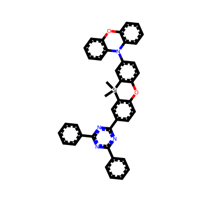 C[Si]1(C)c2cc(-c3nc(-c4ccccc4)nc(-c4ccccc4)n3)ccc2Oc2ccc(N3c4ccccc4Oc4ccccc43)cc21